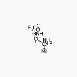 Cc1ccc(C(=O)Nc2ccc(Cl)c(C(F)(F)F)c2)cc1C#Cc1cc(-c2cnn(C)c2)cnc1N